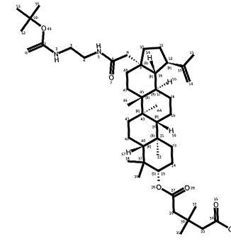 C=C(NCCNC(=O)C[C@]12CC[C@@H](C(=C)C)[C@@H]1[C@H]1CC[C@@H]3[C@@]4(C)CC[C@H](OC(=O)CC(C)(C)CC(=O)O)C(C)(C)[C@@H]4CC[C@@]3(C)[C@]1(C)CC2)OC(C)(C)C